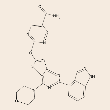 NC(=O)c1cnc(Oc2cc3nc(-c4cccc5[nH]ncc45)nc(N4CCOCC4)c3s2)nc1